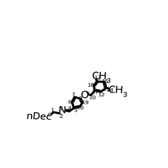 CCCCCCCCCCCCN=Cc1ccc(OCc2cc(C)cc(C)c2)cc1